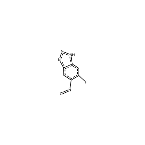 O=Nc1cc2nn[nH]c2cc1F